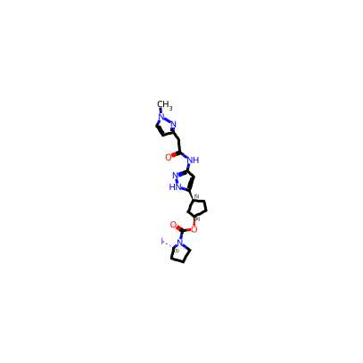 Cn1ccc(CC(=O)Nc2cc([C@H]3CC[C@@H](OC(=O)N4CCC[C@@H]4I)C3)[nH]n2)n1